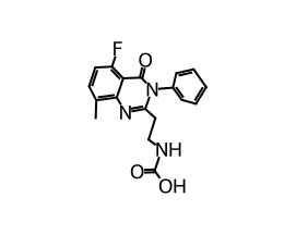 Cc1ccc(F)c2c(=O)n(-c3ccccc3)c(CCNC(=O)O)nc12